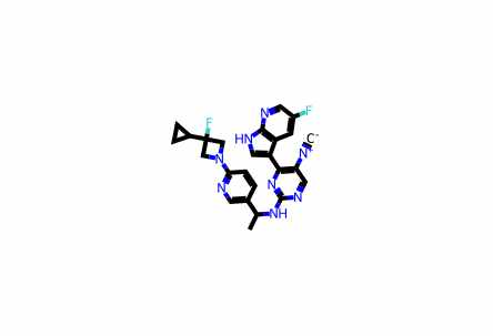 [C-]#[N+]c1cnc(NC(C)c2ccc(N3CC(F)(C4CC4)C3)nc2)nc1-c1c[nH]c2ncc(F)cc12